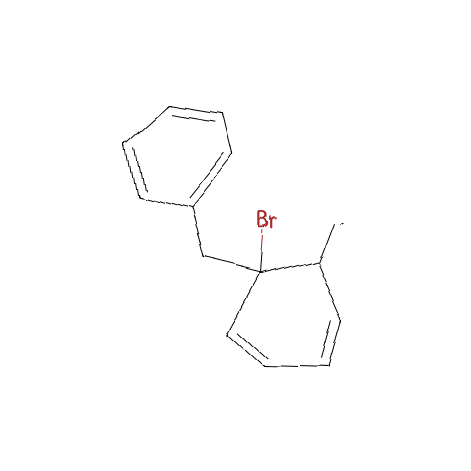 [CH2]C1C=CC=CC1(Br)Cc1ccccc1